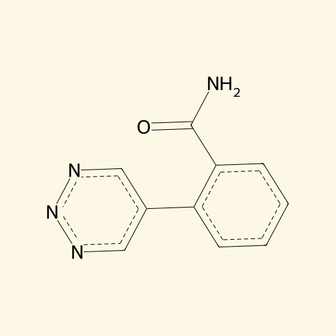 NC(=O)c1ccccc1-c1cnnnc1